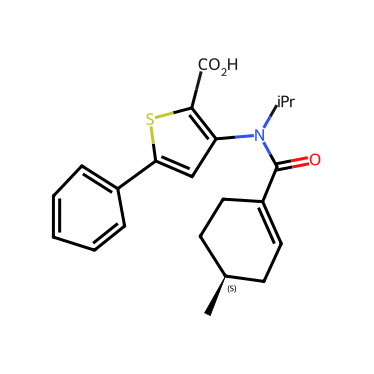 CC(C)N(C(=O)C1=CC[C@@H](C)CC1)c1cc(-c2ccccc2)sc1C(=O)O